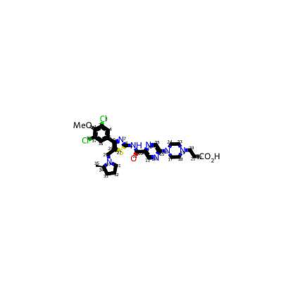 COc1c(Cl)cc(-c2nc(NC(=O)c3cnc(N4CCN(CCC(=O)O)CC4)cn3)sc2CN2CCC[C@H]2C)cc1Cl